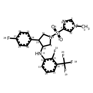 Cn1cnc(S(=O)(=O)N2CC(Nc3cccc(C(F)(F)F)c3F)C(c3ccc(F)cc3)C2)c1